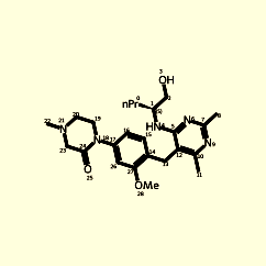 CCC[C@@H](CO)Nc1nc(C)nc(C)c1Cc1ccc(N2CCN(C)CC2=O)cc1OC